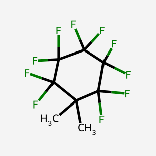 CC1(C)C(F)(F)C(F)(F)C(F)(F)C(F)(F)C1(F)F